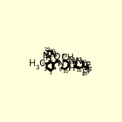 Cc1cccc(C(=O)N2CCCC(Nc3ccc(C(F)(F)F)cn3)[C@@H]2C)c1-n1nccn1